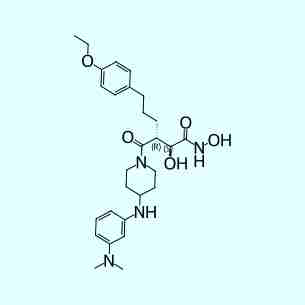 CCOc1ccc(CCC[C@@H](C(=O)N2CCC(Nc3cccc(N(C)C)c3)CC2)[C@H](O)C(=O)NO)cc1